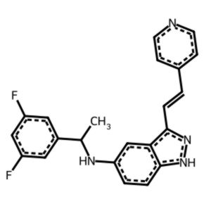 CC(Nc1ccc2[nH]nc(C=Cc3ccncc3)c2c1)c1cc(F)cc(F)c1